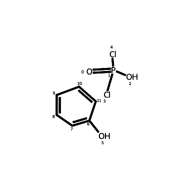 O=P(O)(Cl)Cl.Oc1ccccc1